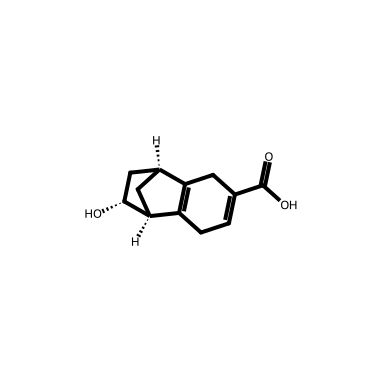 O=C(O)C1=CCC2=C(C1)[C@@H]1C[C@@H](O)[C@H]2C1